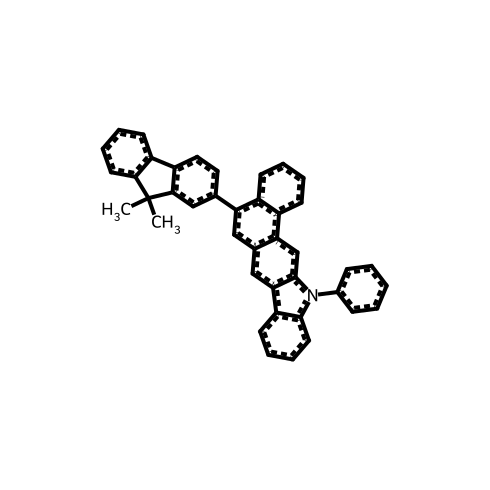 CC1(C)c2ccccc2-c2ccc(-c3cc4cc5c6ccccc6n(-c6ccccc6)c5cc4c4ccccc34)cc21